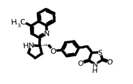 Cc1cc([C@@]2(COc3ccc(CC4SC(=O)NC4=O)cc3)CCCN2)nc2ccccc12